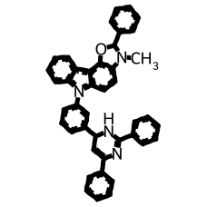 CN1c2ccc3c(c2OC1c1ccccc1)c1ccccc1n3-c1cccc(C2C=C(c3ccccc3)N=C(c3ccccc3)N2)c1